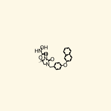 C[C@@]1(OC(=O)NO)CN(Cc2ccc(Oc3ccc4ccccc4c3)cc2)C(=O)N1